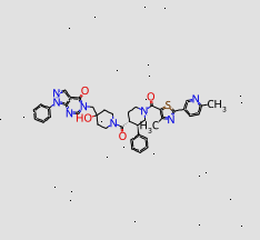 Cc1ccc(-c2nc(C)c(C(=O)N3CC[C@@H](C(=O)N4CCC(O)(Cn5cnc6c(cnn6-c6ccccc6)c5=O)CC4)[C@H](c4ccccc4)C3)s2)cn1